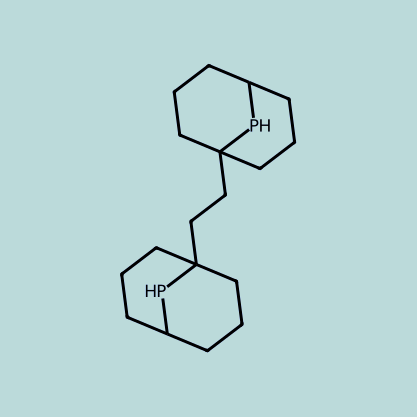 C1CC2CCCC(CCC34CCCC(CCC3)P4)(C1)P2